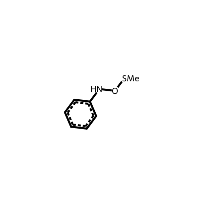 CSONc1ccccc1